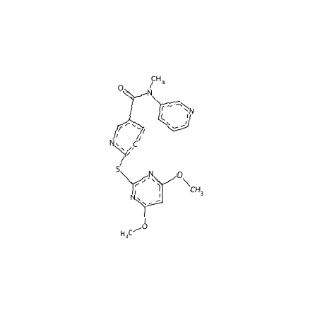 COc1cc(OC)nc(Sc2ccc(C(=O)N(C)c3cccnc3)cn2)n1